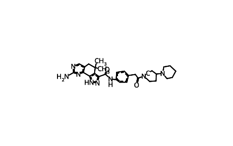 CC1(C)Cc2cnc(N)nc2-c2[nH]nc(C(=O)Nc3ccc(CC(=O)N4CCC(N5CCCCC5)CC4)cc3)c21